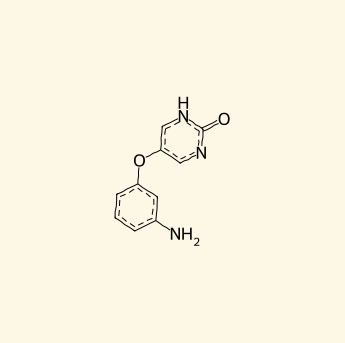 Nc1cccc(Oc2cnc(=O)[nH]c2)c1